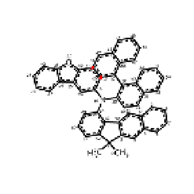 CC1(C)c2cc3ccccc3cc2-c2c(N(c3ccc4oc5ccccc5c4c3)c3ccc4ccccc4c3-c3cccc4ccccc34)cccc21